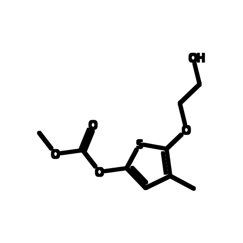 COC(=O)Oc1cc(C)c(OCCO)s1